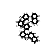 c1ccc2c(N(c3ccc(-c4cccc5oc6c7ccccc7ccc6c45)cc3)c3cccc4sc5ccccc5c34)cccc2c1